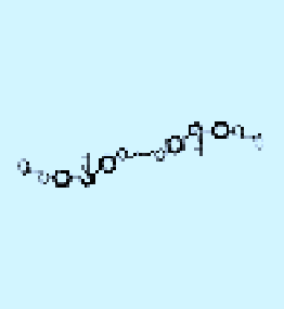 c1cc(-c2ccc(-c3ccc(OCC4CO4)cc3)[nH]2)ccc1OCCCCOc1ccc(-c2ccc(-c3ccc(OCC4CO4)cc3)[nH]2)cc1